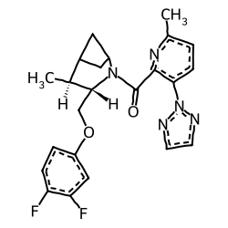 Cc1ccc(-n2nccn2)c(C(=O)N2C3CC(C3)[C@H](C)[C@H]2COc2ccc(F)c(F)c2)n1